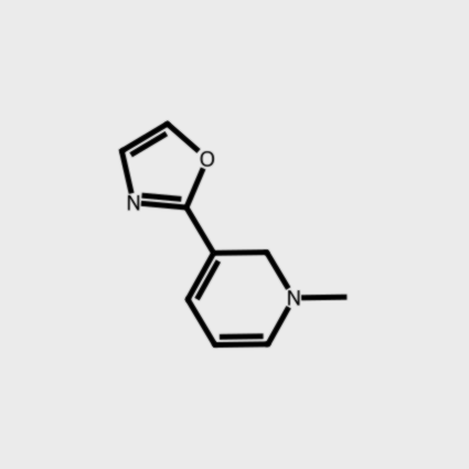 CN1C=CC=C(c2ncco2)C1